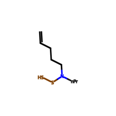 C=CCCCN(CCC)SS